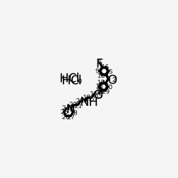 Cl.Cl.O=C(c1ccc(F)cc1)c1ccc(OCCCNCCCN2CCCCC2)cc1